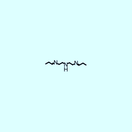 CCC=NCCNCCN=CCC